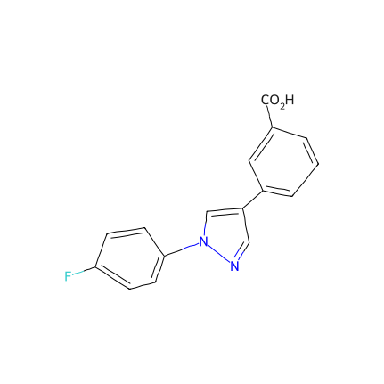 O=C(O)c1cccc(-c2cnn(-c3ccc(F)cc3)c2)c1